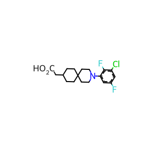 O=C(O)CC1CCC2(CC1)CCN(c1cc(F)cc(Cl)c1F)CC2